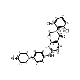 CCN1CCN(c2ccc(Nc3ncc4c(n3)OCN(c3c(Cl)cccc3Cl)C4=O)cc2)CC1